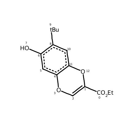 CCOC(=O)C1=COc2cc(O)c(C(C)(C)C)cc2O1